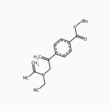 C=C(CN(CC#N)C(=C)C#N)c1ccc(C(=O)OC(C)(C)C)cc1